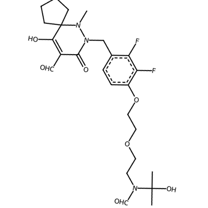 CN1N(Cc2ccc(OCCOCCN(C=O)C(C)(C)O)c(F)c2F)C(=O)C(C=O)=C(O)C12CCCC2